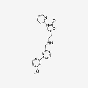 COc1cccc(-c2cccc(CNCCc3cn(C4=NC=CCC4)c(=O)o3)c2)c1